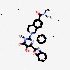 CN(C)C(=O)c1ccc2c(c1)CCN(c1nc(-c3nc4ccccc4o3)c(O)c(=O)n1C)[C@H]2c1ccccc1